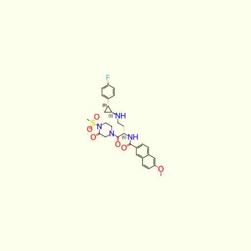 COc1ccc2cc(C(=O)N[C@@H](CCN[C@H]3C[C@@H]3c3ccc(F)cc3)C(=O)N3CCN(S(C)(=O)=O)C(=O)C3)ccc2c1